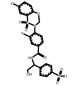 CCS(=O)(=O)c1ccc(C(CO)NC(=O)c2ccc(N3COc4ccc(Cl)cc4S3(=O)=O)c(F)c2)cc1